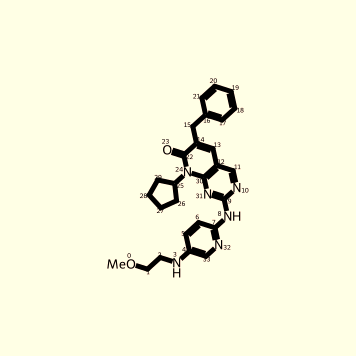 COCCNc1ccc(Nc2ncc3cc(Cc4ccccc4)c(=O)n(C4CCCC4)c3n2)nc1